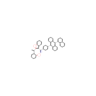 C=C1c2ccccc2O/C=C(/c2ccc(-c3c4ccccc4c(-c4cccc5ccccc45)c4ccccc34)cc2)c2c1oc1ccccc21